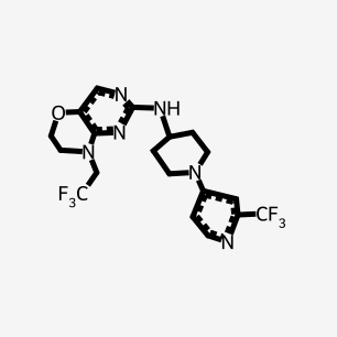 FC(F)(F)CN1CCOc2cnc(NC3CCN(c4ccnc(C(F)(F)F)c4)CC3)nc21